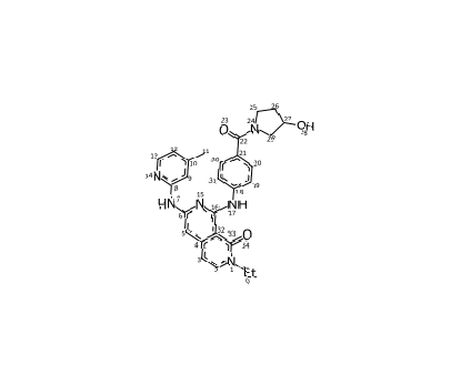 CCn1ccc2cc(Nc3cc(C)ccn3)nc(Nc3ccc(C(=O)N4CCC(O)C4)cc3)c2c1=O